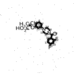 CC(C)(Oc1cccc(N2CCN(C(=O)c3ccc(F)cc3F)CC2)c1)C(=O)O